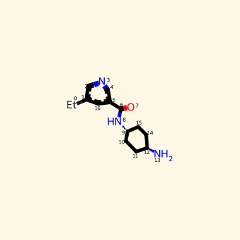 CCc1cncc(C(=O)N[C@H]2CC[C@H](N)CC2)c1